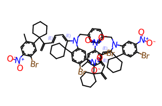 C=C(/C=C/C=C1/N(Cc2ccc(CN3/C(=C/C=C/C(=C)C4(c5cc(Br)c([N+](=O)[O-])cc5C)CCCCC4)C4(CCCCC4)c4cc(Br)c([N+](=O)[O-])cc43)cc2)c2cc([N+](=O)[O-])c(Br)cc2C12CCCCC2)C1(c2cc(Br)c([N+](=O)[O-])cc2C)CCCCC1